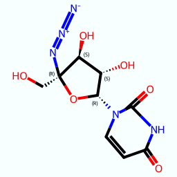 [N-]=[N+]=N[C@]1(CO)O[C@@H](n2ccc(=O)[nH]c2=O)[C@@H](O)[C@@H]1O